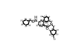 Cc1ccc(CN(Cc2ccc(C)cc2)C2OC2C2CC[C@@H](NOCc3ccccc3)CN2)cc1